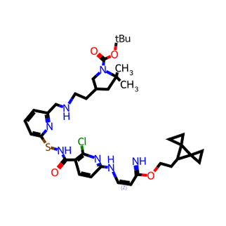 CC(C)(C)OC(=O)N1CC(CCNCc2cccc(SNC(=O)c3ccc(N/C=C\C(=N)OCCC4C5(CC5)C45CC5)nc3Cl)n2)CC1(C)C